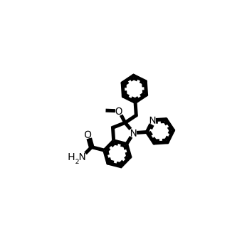 COC1(Cc2ccccc2)Cc2c(C(N)=O)cccc2N1c1ccccn1